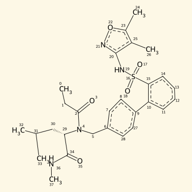 CCC(=O)N(Cc1ccc(-c2ccccc2S(=O)(=O)Nc2noc(C)c2C)cc1)[C@@H](CC(C)C)C(=O)NC